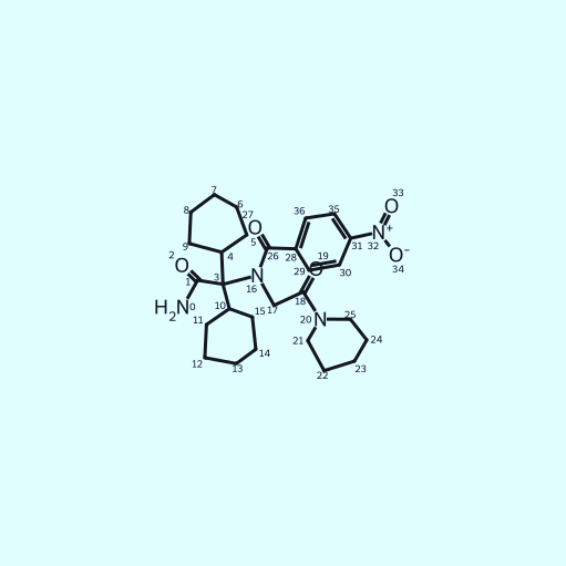 NC(=O)C(C1CCCCC1)(C1CCCCC1)N(CC(=O)N1CCCCC1)C(=O)c1ccc([N+](=O)[O-])cc1